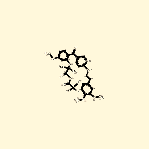 COc1ccc(C(=O)c2ccc(OCCc3ccc(OC)c(OC)c3)nc2)c(OC(C)(C)C(=O)OC(=O)C(F)(F)F)c1